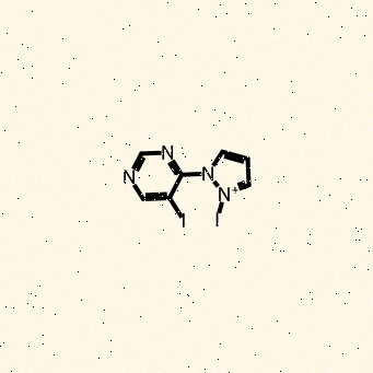 Ic1cncnc1-n1ccc[n+]1I